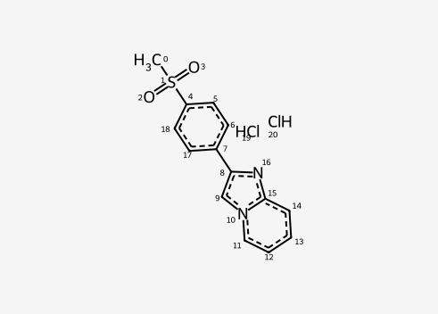 CS(=O)(=O)c1ccc(-c2cn3ccccc3n2)cc1.Cl.Cl